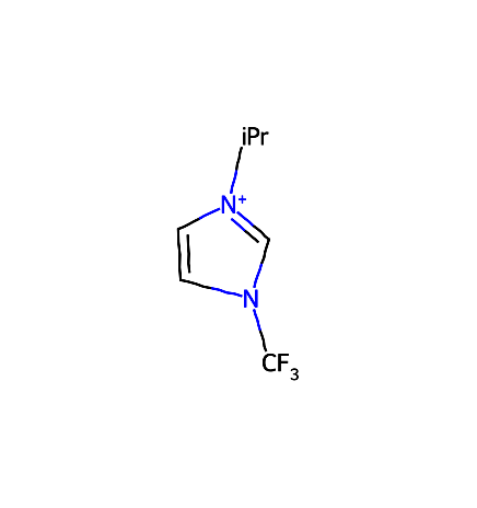 CC(C)[n+]1ccn(C(F)(F)F)c1